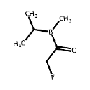 CB(C(=O)CF)C(C)C